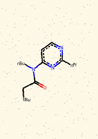 CCCCN(C(=O)CC(C)(C)C)c1ccnc(CCC)n1